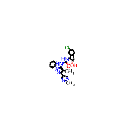 Cc1ncc(-c2nn(-c3ccccc3)c(NC(=O)N[C@@H]3c4cc(Cl)ccc4C[C@H]3O)c2C)cn1